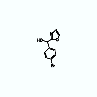 OC(c1ccc(Br)cc1)c1ncco1